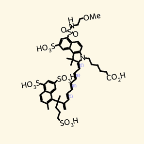 C=C(/C=C/C=C/C=C/C=C1/N(CCCCCC(=O)O)c2ccc3c(S(=O)(=O)NCCOC)cc(S(=O)(=O)O)cc3c2C1(C)C)C(C)(CCCS(=O)(=O)O)c1c(C)ccc2c(S(=O)(=O)O)cc(S(=O)(=O)O)cc12